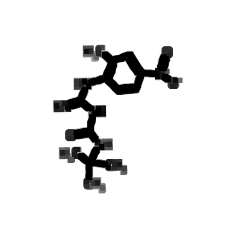 Cc1cc([N+](=O)[O-])ccc1NC(=N)NC(=O)NC(C)(C)C